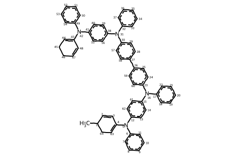 CC1C=CC(N(c2ccccc2)c2ccc(N(c3ccccc3)c3ccc(-c4ccc(N(c5ccccc5)c5ccc(N(C6=CCCC=C6)c6ccccc6)cc5)cc4)cc3)cc2)=CC1